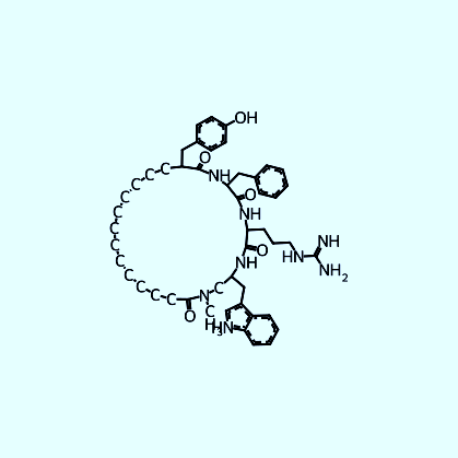 CN1CC(Cc2c[nH]c3ccccc23)NC(=O)C(CCCNC(=N)N)NC(=O)C(Cc2ccccc2)NC(=O)C(Cc2ccc(O)cc2)CCCCCCCCCCCCC1=O